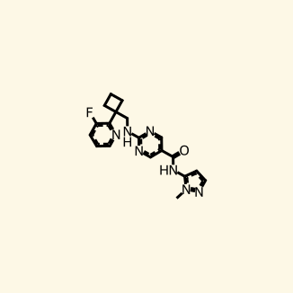 Cn1nccc1NC(=O)c1cnc(NCC2(c3ncccc3F)CCC2)nc1